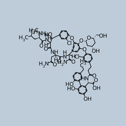 CCc1ccc(O)c(-c2c(O)cc(O)cc2[C@H](NC(=O)CCc2ccc(Oc3cc4cc(c3O[C@H]3C[C@@H](O)C[C@@H](CO)O3)Oc3ccc(cc3Cl)[C@@H](O)[C@@H](NC(=O)[C@@H](CC(C)C)NC)C(=O)N[C@@H](CC(N)=O)C(=O)N[C@H]4C(N)=O)c(Cl)c2)C(=O)O)c1